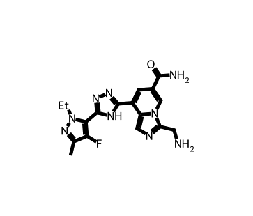 CCn1nc(C)c(F)c1-c1nnc(-c2cc(C(N)=O)cn3c(CN)ncc23)[nH]1